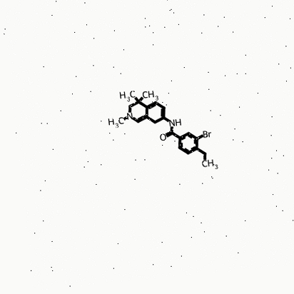 CCc1ccc(C(=O)NC2=CC=C3C(=CN(C)CC3(C)C)C2)cc1Br